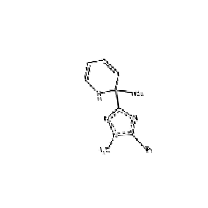 CCCCC1(c2nc(C(C)C)n(C)n2)C=CC=CN1